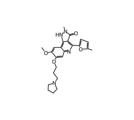 COc1cc2c(cc1OCCCN1CCCC1)nc(-c1ccc(C)o1)c1c(=O)n(C)[nH]c12